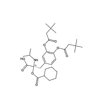 CC(C)N[C@@](Cc1ccc(OC(=O)CC(C)(C)C)c(OC(=O)CC(C)(C)C)c1)(OC(=O)C1CCCCC1)C(=O)O